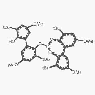 COc1cc(-c2cc(OC)cc(C(C)(C)C)c2Op2oc3c(C(C)(C)C)cc(OC)cc3c3cc(OC)cc(C(C)(C)C)c3o2)c(O)c(C(C)(C)C)c1